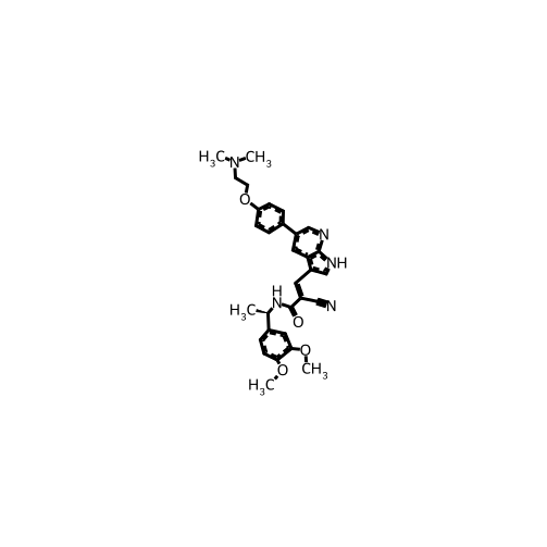 COc1ccc([C@@H](C)NC(=O)/C(C#N)=C/c2c[nH]c3ncc(-c4ccc(OCCN(C)C)cc4)cc23)cc1OC